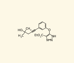 CCOC(=O)c1nn[nH]c1Oc1cccc(C#CCC(C)(C)O)c1